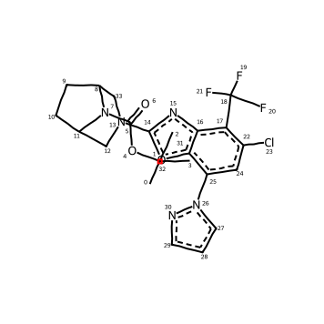 CC(C)(C)OC(=O)N1C2CCC1CN(c1nc3c(C(F)(F)F)c(Cl)cc(-n4cccn4)c3o1)C2